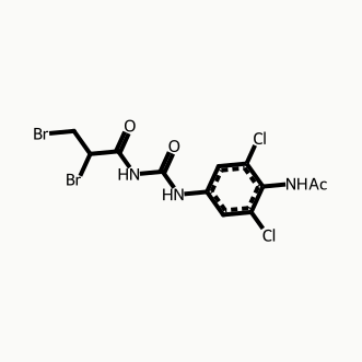 CC(=O)Nc1c(Cl)cc(NC(=O)NC(=O)C(Br)CBr)cc1Cl